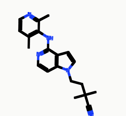 Cc1ccnc(C)c1Nc1nccc2c1ccn2CCC(C)(C)C#N